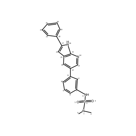 CN(C)S(=O)(=O)Nc1cccc(-c2cnc3[nH]c(-c4ccccc4)cc3c2)c1